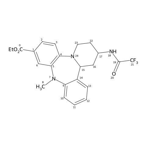 CCOC(=O)c1ccc2c(c1)N(C)c1ccccc1C1CC(NC(=O)C(F)(F)F)CCN21